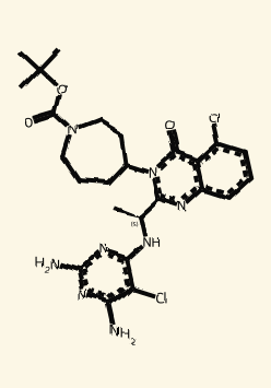 C[C@H](Nc1nc(N)nc(N)c1Cl)c1nc2cccc(Cl)c2c(=O)n1C1CCCN(C(=O)OC(C)(C)C)CC1